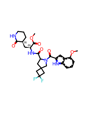 COC(=O)[C@H](C[C@@H]1CCCNC1=O)NC(=O)C1CC2(CN1C(=O)c1cc3c(OC)cccc3[nH]1)CC(F)(F)C2